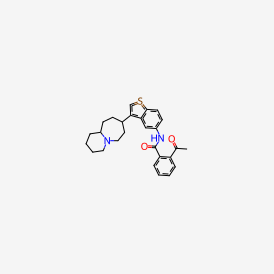 CC(=O)c1ccccc1C(=O)Nc1ccc2scc(C3CCC4CCCCN4CC3)c2c1